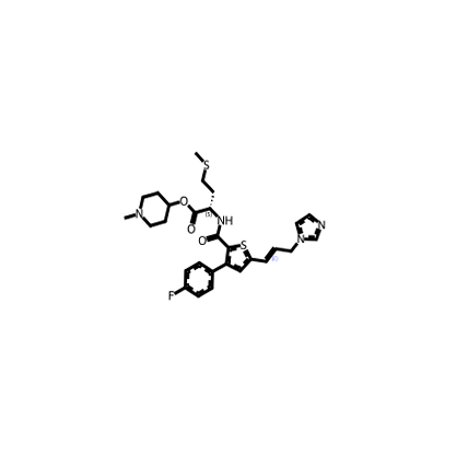 CSCC[C@H](NC(=O)c1sc(/C=C/Cn2ccnc2)cc1-c1ccc(F)cc1)C(=O)OC1CCN(C)CC1